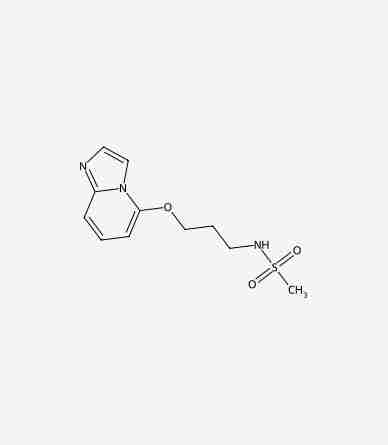 CS(=O)(=O)NCCCOc1cccc2nccn12